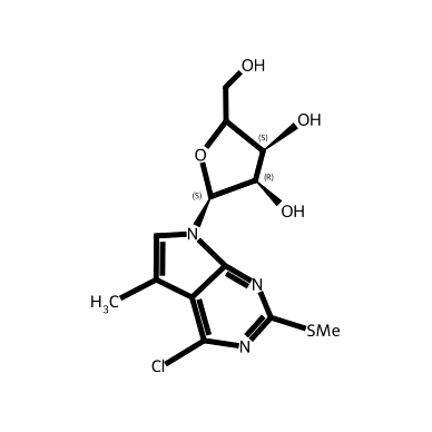 CSc1nc(Cl)c2c(C)cn([C@H]3OC(CO)[C@@H](O)[C@H]3O)c2n1